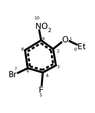 CCOc1cc(F)c(Br)cc1[N+](=O)[O-]